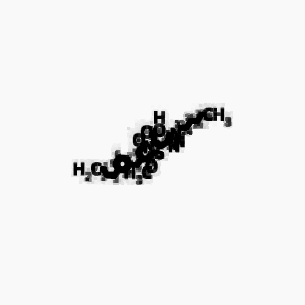 C=C/C=C\c1cccc(Cc2cc(=O)n3c(C(=O)O)c(-c4cn(CCCCCC)nn4)sc3c2OC)c1